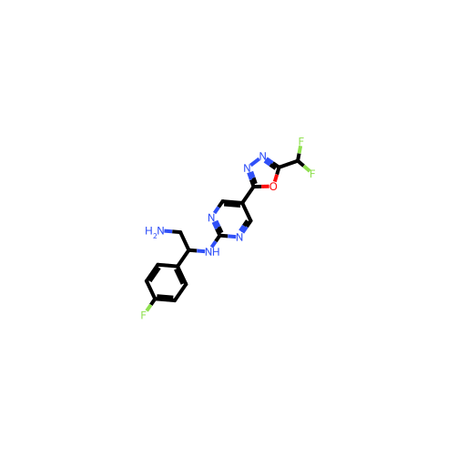 NCC(Nc1ncc(-c2nnc(C(F)F)o2)cn1)c1ccc(F)cc1